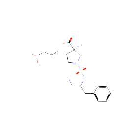 NC[C@@H](Cc1ccccc1)NS(=O)(=O)N1C[C@H](CCCB(O)O)[C@](N)(C(=O)O)C1